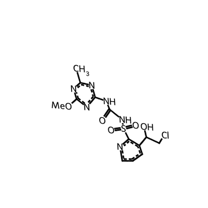 COc1nc(C)nc(NC(=O)NS(=O)(=O)c2ncccc2C(O)CCl)n1